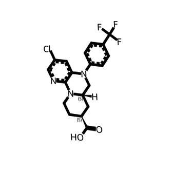 O=C(O)[C@H]1CCN2c3ncc(Cl)cc3N(c3ccc(C(F)(F)F)cc3)C[C@@H]2C1